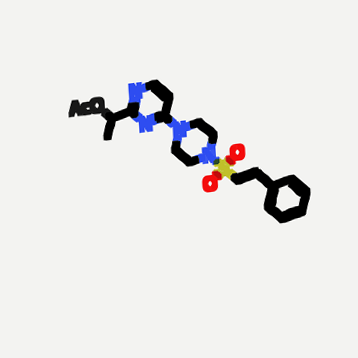 CC(=O)OC(C)c1nccc(N2CCN(S(=O)(=O)/C=C/c3ccccc3)CC2)n1